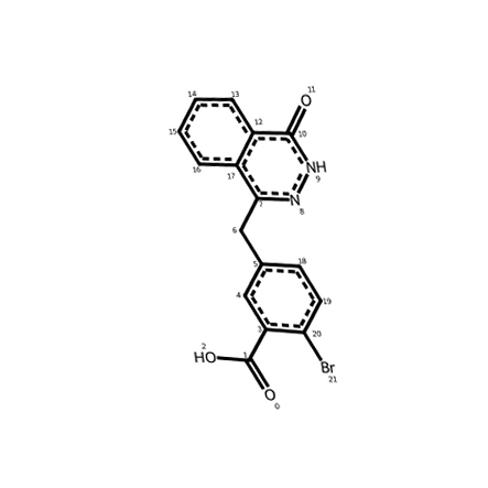 O=C(O)c1cc(Cc2n[nH]c(=O)c3ccccc23)ccc1Br